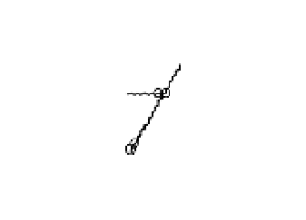 CCCCCCCCCOC(CCCCCCCCCCCCCC=COCOC)OCCCCCCCCC